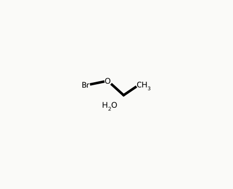 CCOBr.O